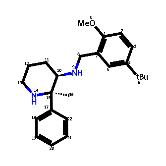 COc1ccc(C(C)(C)C)cc1CN[C@@H]1CCCN[C@]1(C)c1ccccc1